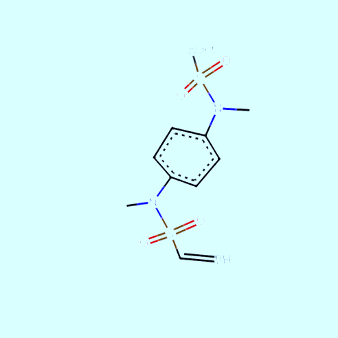 B=CS(=O)(=O)N(C)c1ccc(N(C)S(=O)(=O)CCCCCCCC)cc1